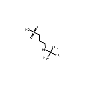 CC(C)(C)NCCCS(=O)(=O)O